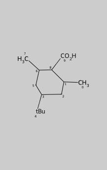 CC1CC(C(C)(C)C)CC(C)C1C(=O)O